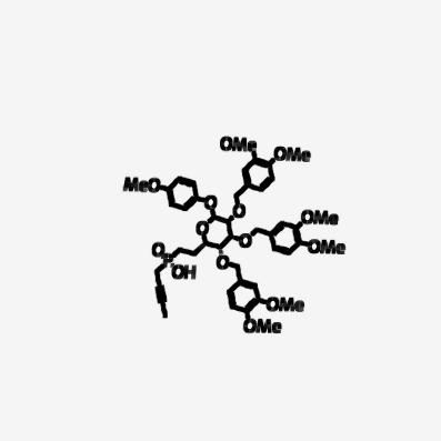 CC#CCP(=O)(O)CC[C@H]1OC(Oc2ccc(OC)cc2)[C@@H](OCc2ccc(OC)c(OC)c2)[C@@H](OCc2ccc(OC)c(OC)c2)[C@@H]1OCc1ccc(OC)c(OC)c1